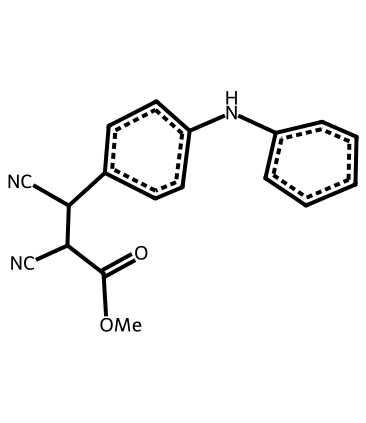 COC(=O)C(C#N)C(C#N)c1ccc(Nc2ccccc2)cc1